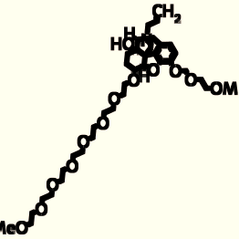 C=CCN1CCC23c4c5ccc(OCOCCOC)c4O[C@H]2[C@@H](OCCOCCOCCOCCOCCOCCOCCOC)CC[C@@]3(O)[C@H]1C5